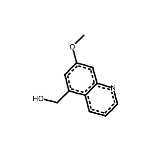 COc1cc(CO)c2cccnc2c1